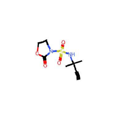 C#CC(C)(C)NS(=O)(=O)N1CCOC1=O